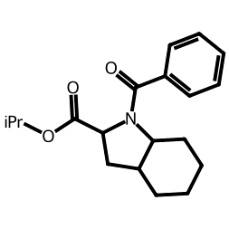 CC(C)OC(=O)C1CC2CCCCC2N1C(=O)c1ccccc1